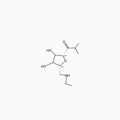 CCNC[C@H]1O[C@@H](C(=O)C(C)C)C(O)C1O